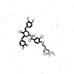 CCN(CC)CCOc1ccc(C(=O)NC2CC(=Cc3ccc(F)c(F)c3)C(=O)C(=Cc3ccc(F)c(F)c3)C2)cc1Cl